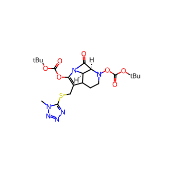 Cn1nnnc1SCC1=C(OC(=O)OC(C)(C)C)N2C(=O)[C@@H]3[C@H]2C1CCN3OC(=O)OC(C)(C)C